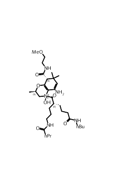 CCCCNC(=O)CCC[C@H](CCCNC(=O)CCC)C(=O)[N@+]1(O)C[C@@H](C)OC2=C1C(N)=CC(C)(C)[C@H]2C(=O)NCCOC